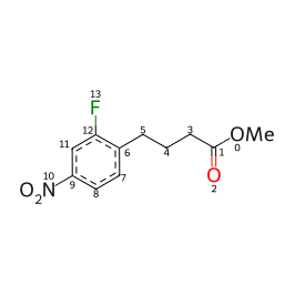 COC(=O)CCCc1ccc([N+](=O)[O-])cc1F